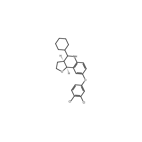 Clc1ccc(Oc2ccc3c(c2)[C@H]2OCC[C@H]2C(C2CCCCC2)N3)cc1Cl